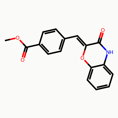 COC(=O)c1ccc(/C=C2\Oc3ccccc3NC2=O)cc1